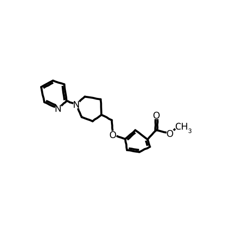 COC(=O)c1cccc(OCC2CCN(c3ccccn3)CC2)c1